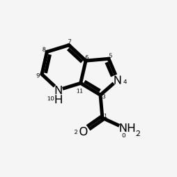 NC(=O)c1ncc2ccc[nH]c1-2